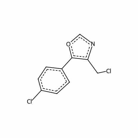 ClCc1ncoc1-c1ccc(Cl)cc1